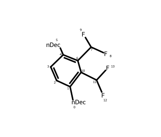 CCCCCCCCCCc1ccc(CCCCCCCCCC)c(C(F)F)c1C(F)F